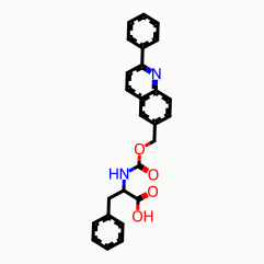 O=C(NC(Cc1ccccc1)C(=O)O)OCc1ccc2nc(-c3ccccc3)ccc2c1